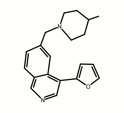 CC1CCN(Cc2ccc3cncc(-c4ccco4)c3c2)CC1